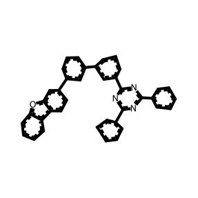 c1ccc(-c2nc(-c3ccccc3)nc(-c3cccc(-c4cccc(-c5ccc6c(c5)oc5ccccc56)c4)c3)n2)cc1